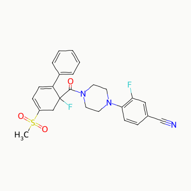 CS(=O)(=O)C1=CC=C(c2ccccc2)C(F)(C(=O)N2CCN(c3ccc(C#N)cc3F)CC2)C1